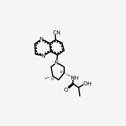 CC(O)C(=O)N[C@@H]1C[C@H](C)CN(c2ccc(C#N)c3nccnc23)C1